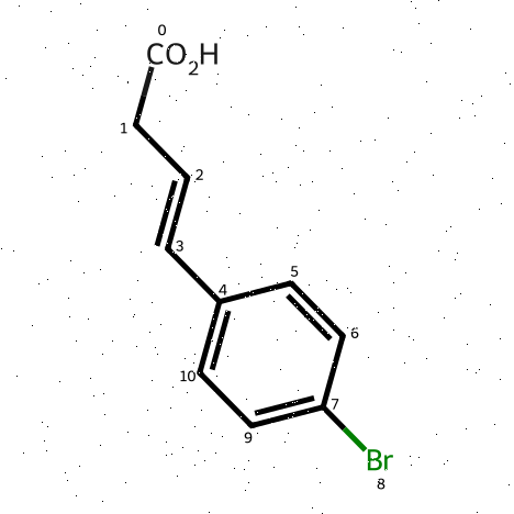 O=C(O)CC=Cc1ccc(Br)cc1